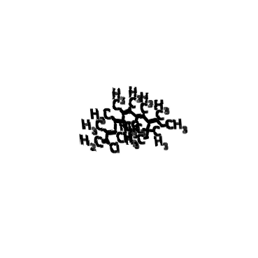 C=C(Cl)/C(C)=C(C)/C(C)=C(C)/C(C)=C(C)\C(C)=C(C)\C(=C(/C)CC)C(C)(C)CC